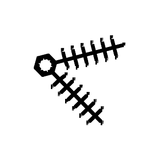 FC(F)(F)C(F)(F)C(F)(F)C(F)(F)C(F)(F)C(F)(F)c1[c]cccc1C(F)(F)C(F)(F)C(F)(F)C(F)(F)C(F)(F)C(F)(F)F